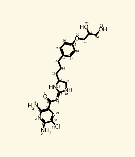 Nc1nc(N)c(C(=O)/N=C2/NCC(CCCc3ccc(OCC(O)CO)cc3)N2)nc1Cl